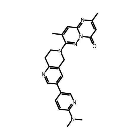 Cc1cc(=O)n2nc(N3CCc4ncc(-c5ccc(N(C)C)nc5)cc4C3)c(C)cc2n1